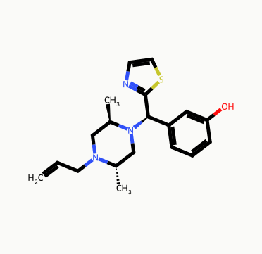 C=CCN1C[C@@H](C)N([C@H](c2cccc(O)c2)c2nccs2)C[C@@H]1C